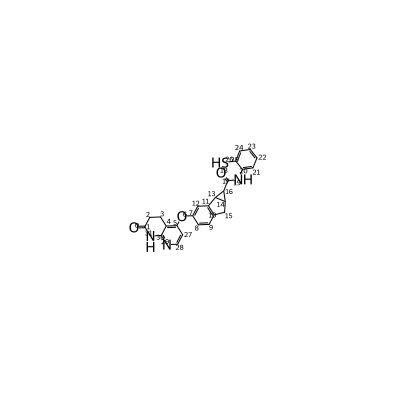 O=C1CCc2c(Oc3ccc4c(c3)C3C(C4)C3C(=O)Nc3ccccc3S)ccnc2N1